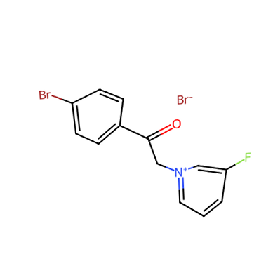 O=C(C[n+]1cccc(F)c1)c1ccc(Br)cc1.[Br-]